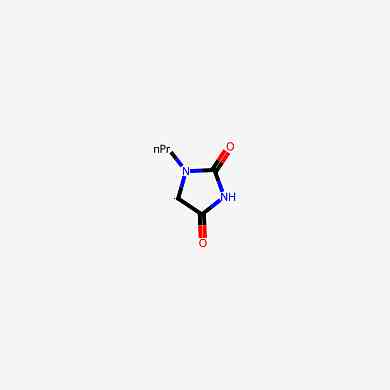 CCCN1[CH]C(=O)NC1=O